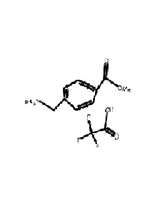 COC(=O)c1ccc(CN)cc1.O=C(O)C(F)(F)F